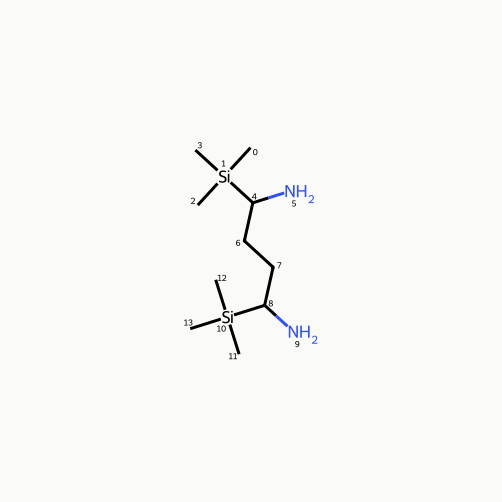 C[Si](C)(C)C(N)CCC(N)[Si](C)(C)C